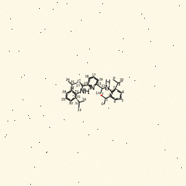 CC(C)c1cccc(C(C)C)c1NC(C)c1cccc(C(C)Nc2c(C(C)C)cccc2C(C)C)n1